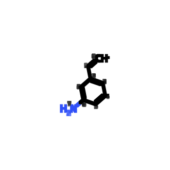 [CH]=Cc1cccc(N)c1